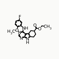 CCOC(=O)C1CCc2[nH]c3ncnc(Nc4cc(F)ccc4OC)c3c2C1